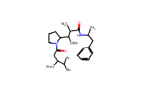 CCC(C)C(C(C)C)C(CC(=O)N1CCCC1C(OC)C(C)C(=O)NC(C)Cc1ccccc1)OC